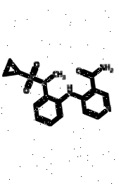 CN(c1ccccc1Nc1ccncc1C(N)=O)S(=O)(=O)C1CC1